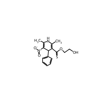 CC1=C(C(=S)OCCO)C(c2ccccc2)C([N+](=O)[O-])=C(C)N1